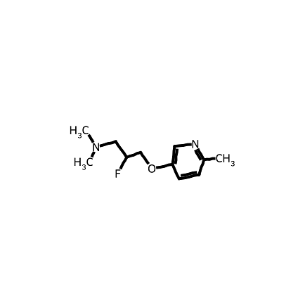 Cc1ccc(OCC(F)CN(C)C)cn1